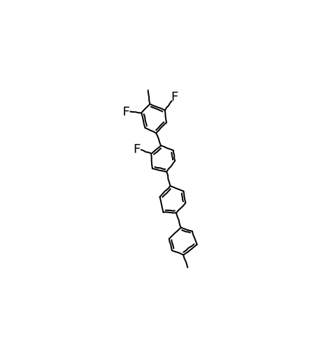 Cc1ccc(-c2ccc(-c3ccc(-c4cc(F)c(C)c(F)c4)c(F)c3)cc2)cc1